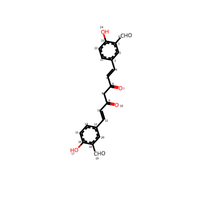 O=Cc1cc(/C=C/C(=O)CC(=O)/C=C/c2ccc(O)c(C=O)c2)ccc1O